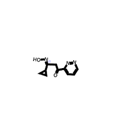 O=C(C/C(=N/O)C1CC1)c1cccnn1